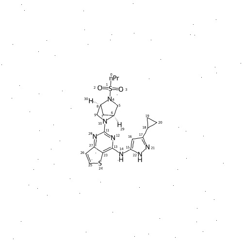 CCCS(=O)(=O)N1C[C@@H]2C[C@H]1CN2c1nc(Nc2cc(C3CC3)n[nH]2)c2sccc2n1